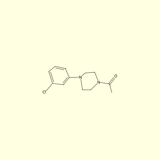 CC(=O)N1CCN(c2[c]ccc(Cl)c2)CC1